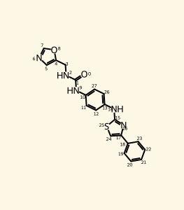 O=C(NCc1cnco1)Nc1ccc(Nc2nc(-c3ccccc3)cs2)cc1